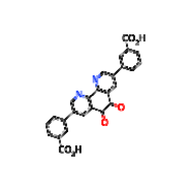 O=C(O)c1cccc(-c2cnc3c(c2)C(=O)C(=O)c2cc(-c4cccc(C(=O)O)c4)cnc2-3)c1